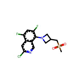 CS(=O)(=O)CC1CN(c2c(F)cc(F)c3cc(Cl)ncc23)C1